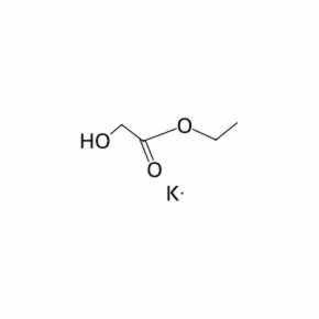 CCOC(=O)CO.[K]